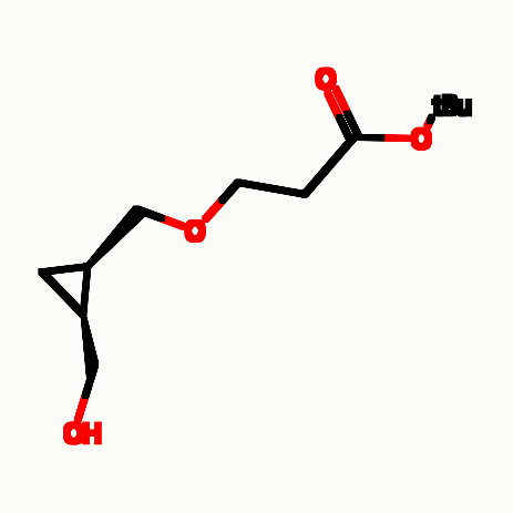 CC(C)(C)OC(=O)CCOC[C@@H]1C[C@@H]1CO